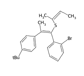 C/C=C(/C)S/C(=C(\C)c1ccc(C(C)(C)C)cc1)c1ccccc1Br